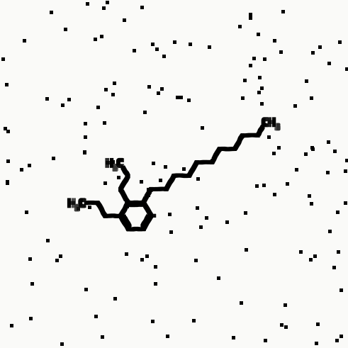 CCCCCCCCCCCc1[c]ccc(CCC)c1CCC